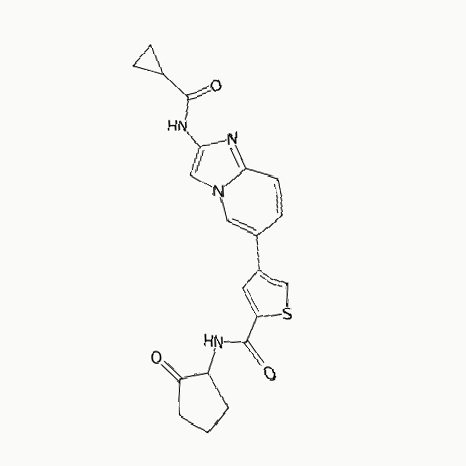 O=C(NC1CCCC1=O)c1cc(-c2ccc3nc(NC(=O)C4CC4)cn3c2)cs1